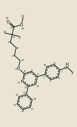 CNc1ccc(-c2cc(OCCCCC(C)(C)C(=O)OC)nc(-c3ccccc3)c2)cc1